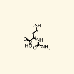 NC(=O)NC(CCS)C(=O)O